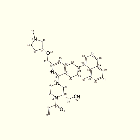 C=CC(=O)N1CCN(c2nc(CO[C@@H]3CCN(C)C3)nc3c2CCN(c2cccc4cccc(C)c24)C3)C[C@@H]1CC#N